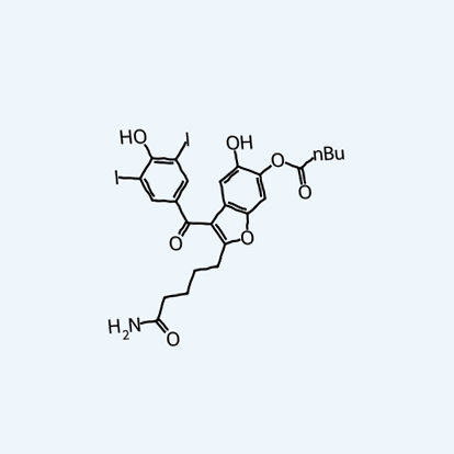 CCCCC(=O)Oc1cc2oc(CCCCC(N)=O)c(C(=O)c3cc(I)c(O)c(I)c3)c2cc1O